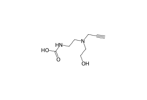 C#CCN(CCO)CCNC(=O)O